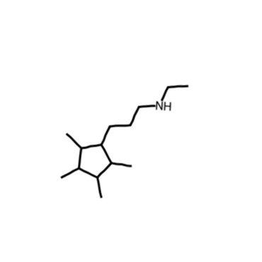 CCNCCCC1C(C)C(C)C(C)C1C